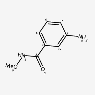 CONC(=O)c1cccc(N)c1